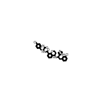 NC(=O)[C@H](Cc1ccc(Cl)cc1)NC(=O)c1cccc2c1OCCC2NC(Cc1cccc(Cl)c1)c1cnc[nH]1